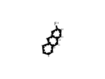 Fc1[c]c2cc3ccccc3cc2cc1